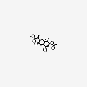 C=C(C(=O)OC)[C@H]1C[C@@]2(C)C(=CC1=O)C(Cl)=C[C@H](OC(C)=O)[C@@H]2C